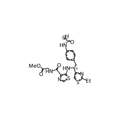 CCc1nc([C@H](Cc2ccc(N[SH](=O)=O)cc2)Nc2scnc2C(=O)NCC(=O)OC)cs1